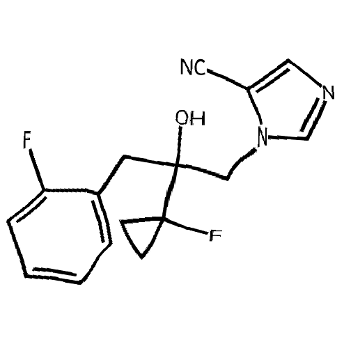 N#Cc1cncn1CC(O)(Cc1ccccc1F)C1(F)CC1